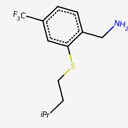 CC(C)CCSc1cc(C(F)(F)F)ccc1CN